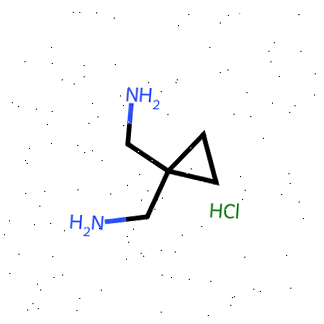 Cl.NCC1(CN)CC1